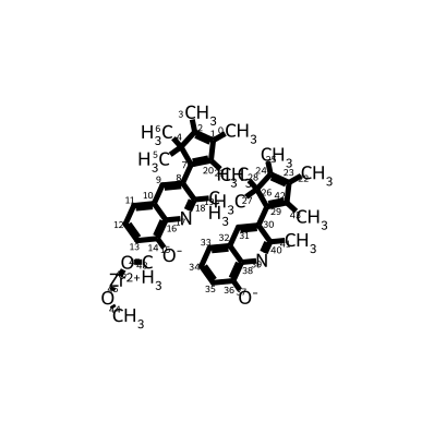 CC1=C(C)C(C)(C)C(c2cc3cccc([O-])c3nc2C)=C1C.CC1=C(C)C(C)(C)C(c2cc3cccc([O-])c3nc2C)=C1C.C[O][Zr+2][O]C